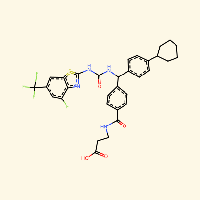 O=C(O)CCNC(=O)c1ccc(C(NC(=O)Nc2nc3c(F)cc(C(F)(F)F)cc3s2)c2ccc(C3CCCCC3)cc2)cc1